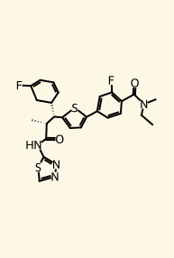 CCN(C)C(=O)c1ccc(-c2ccc([C@@H](C3C=CC=C(F)C3)[C@@H](C)C(=O)Nc3nncs3)s2)cc1F